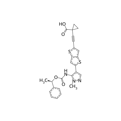 C[C@@H](OC(=O)Nc1c(-c2cc3sc(C#CC4(C(=O)O)CC4)cc3s2)cnn1C)c1ccccc1